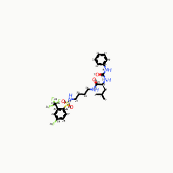 CC(C)C[C@H](NC(=O)Nc1ccccc1)C(=O)NCCCCNS(=O)(=O)c1ccc(F)cc1C(F)(F)F